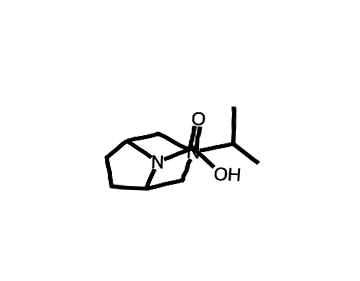 CC(C)N1CC2CCC(C1)N2C(=O)O